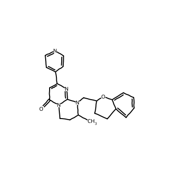 CC1CCn2c(nc(-c3ccncc3)cc2=O)N1CC1CCc2ccccc2O1